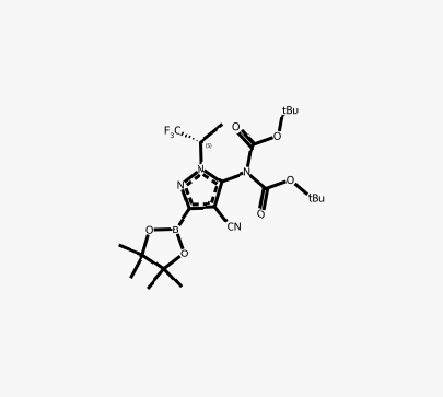 C[C@H](n1nc(B2OC(C)(C)C(C)(C)O2)c(C#N)c1N(C(=O)OC(C)(C)C)C(=O)OC(C)(C)C)C(F)(F)F